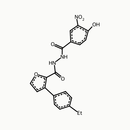 CCc1ccc(-c2ccoc2C(=O)NNC(=O)c2ccc(O)c([N+](=O)[O-])c2)cc1